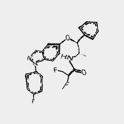 C[C@H](NC(=O)C(F)F)[C@@H](Oc1ccc2c(cnn2-c2ccc(F)cc2)c1)c1ccccc1